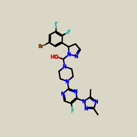 Cc1nc(C)n(-c2nc(N3CCN(C(O)N4N=CCC4c4cc(Br)cc(F)c4F)CC3)ncc2F)n1